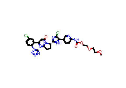 COCCOCCOC(=O)Nc1ccc(-c2[nH]c([C@@H]3CCc4nc(-c5cc(Cl)ccc5-n5cnnn5)cc(=O)n43)nc2Cl)cn1